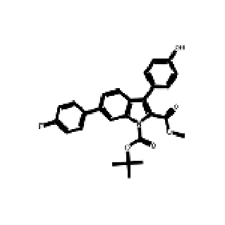 COC(=O)c1c(-c2ccc(O)cc2)c2ccc(-c3ccc(F)cc3)cc2n1C(=O)OC(C)(C)C